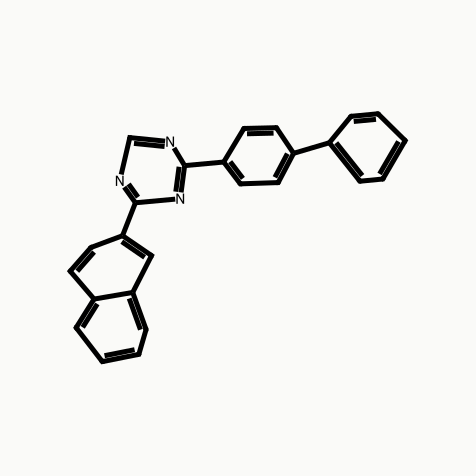 c1ccc(-c2ccc(-c3ncnc(-c4ccc5ccccc5c4)n3)cc2)cc1